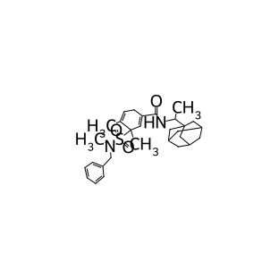 CC1=CCC(C(=O)NC(C)C23CC4CC(CC(C4)C2)C3)=CC1(C)S(=O)(=O)N(C)Cc1ccccc1